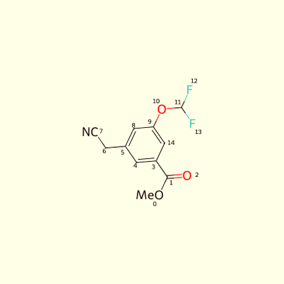 COC(=O)c1cc(CC#N)cc(OC(F)F)c1